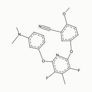 COc1ccc(Oc2nc(Oc3cccc(N(C)C)c3)c(F)c(C)c2F)cc1C#N